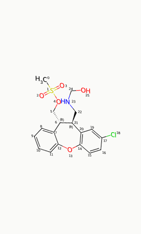 CS(=O)(=O)OC[C@H]1c2ccccc2Oc2ccc(Cl)cc2[C@@H]1CNCO